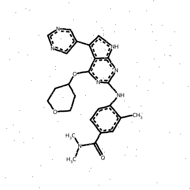 Cc1cc(C(=O)N(C)C)ccc1Nc1nc(OC2CCOCC2)c2c(-c3cncnc3)c[nH]c2n1